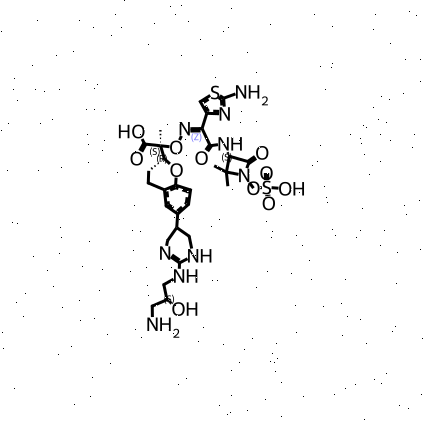 CC1(C)[C@H](NC(=O)/C(=N\O[C@](C)(C(=O)O)[C@H]2CCc3cc(C4CN=C(NC[C@@H](O)CN)NC4)ccc3O2)c2csc(N)n2)C(=O)N1OS(=O)(=O)O